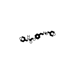 O=C(COc1ccc(CC=NOCC2CCOCC2)cc1)NCC1CCOCC1